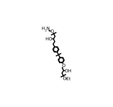 CCOC(C)(C)CC(O)COc1ccc(C(C)(C)c2ccc(CCC(O)CC(C)(C)OCN)cc2)cc1